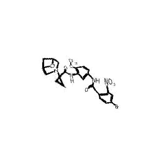 O=C(Nc1ccc(OC(F)(F)F)c(NC(=O)C2(N3CC4CC(C3)O4)CC2)c1)c1ccc(Br)cc1[N+](=O)[O-]